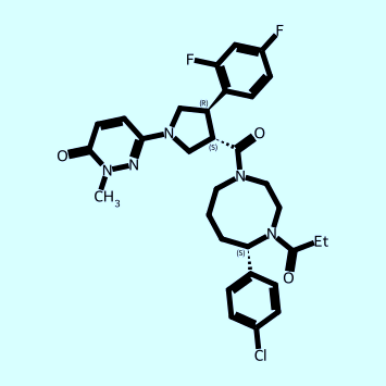 CCC(=O)N1CCN(C(=O)[C@@H]2CN(c3ccc(=O)n(C)n3)C[C@H]2c2ccc(F)cc2F)CCC[C@H]1c1ccc(Cl)cc1